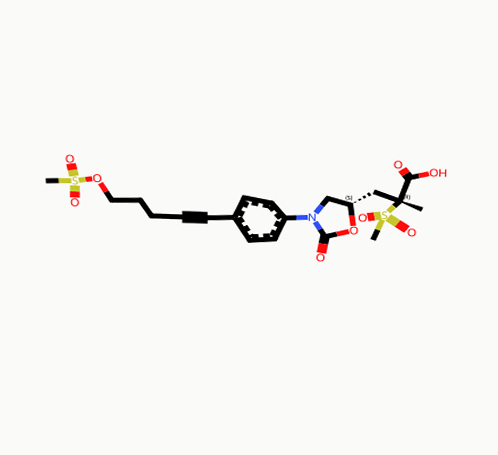 C[C@@](C[C@H]1CN(c2ccc(C#CCCCOS(C)(=O)=O)cc2)C(=O)O1)(C(=O)O)S(C)(=O)=O